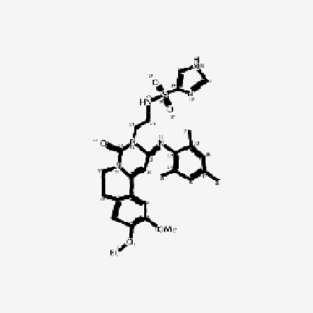 CCOc1cc2c(cc1OC)-c1c/c(=N\c3c(C)cc(C)cc3C)n(CCNS(=O)(=O)c3c[nH]cn3)c(=O)n1CC2